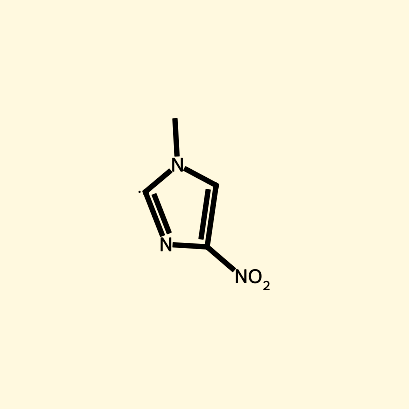 Cn1[c]nc([N+](=O)[O-])c1